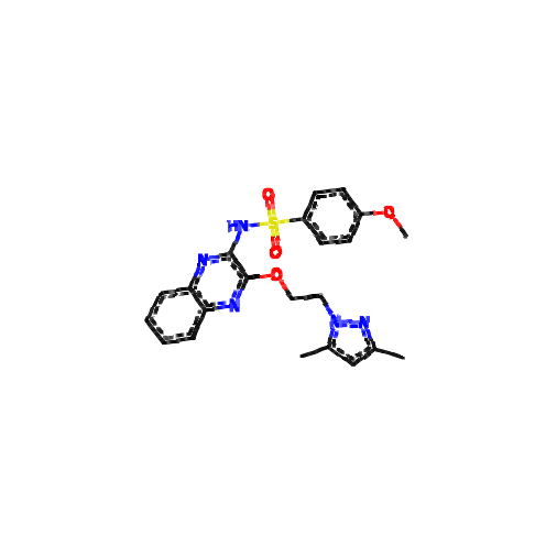 COc1ccc(S(=O)(=O)Nc2nc3ccccc3nc2OCCn2nc(C)cc2C)cc1